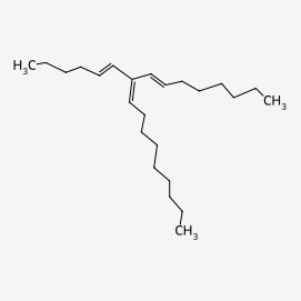 CCCCC=CC(C=CCCCCCC)=CCCCCCCCC